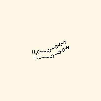 CCCCCCCC[C@H]1CC[C@H](C#Cc2ccc(-c3ccc(C#N)cc3)cc2)CC1.CCCCCCC[C@H]1CC[C@H](C#Cc2ccc(-c3ccc(C#N)cc3)cc2)CC1